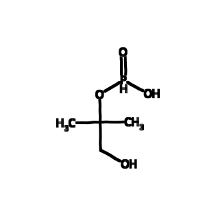 CC(C)(CO)O[PH](=O)O